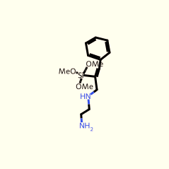 CO[Si](OC)(OC)C(=Cc1ccccc1)CNCCN